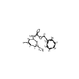 CC1=CCN(C#N)CC(NC(=O)OCc2ccccc2)C1